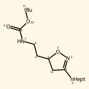 CCCCCCCC1=NOC(CCNC(=O)OC(C)(C)C)C1